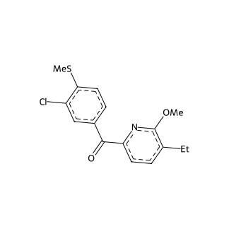 CCc1ccc(C(=O)c2ccc(SC)c(Cl)c2)nc1OC